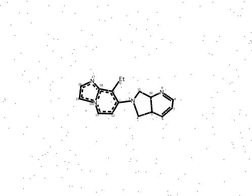 CCc1c(N2CC3C=CC=NC3C2)ccn2ccnc12